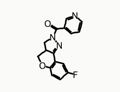 O=C(c1cccnc1)N1CC2COc3ccc(F)cc3C2=N1